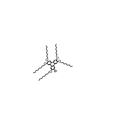 CCCCCCCCOc1cc2c(cc1Br)c1cc(OCCCCCCCC)c(OCCCCCCCC)cc1c1cc(OCCCCCCCC)c(OCCCCCCCC)cc21